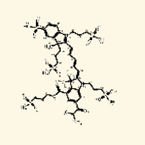 CC(C)C(=O)c1cc(C(=O)OCCCS(=O)(=O)O)c2c(c1)N(CCCS(=O)(=O)O)/C(=C/C=C/C=C/C1=[N+](CCCS(=O)(=O)O)c3ccc(S(=O)(=O)O)cc3C1(C)CCCS(=O)(=O)O)C2(C)C